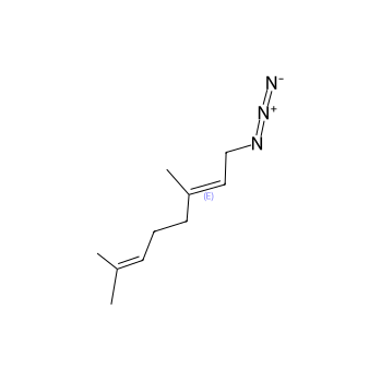 CC(C)=CCC/C(C)=C/CN=[N+]=[N-]